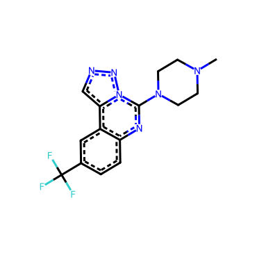 CN1CCN(c2nc3ccc(C(F)(F)F)cc3c3cnnn23)CC1